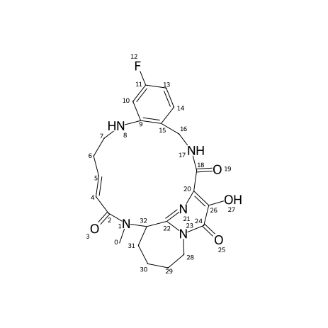 CN1C(=O)/C=C/CCNc2cc(F)ccc2CNC(=O)c2nc3n(c(=O)c2O)CCCCC31